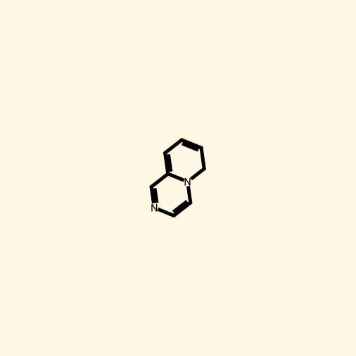 C1=CCN2C=CN=CC2=C1